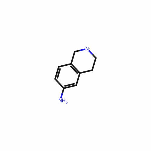 Nc1ccc2c(c1)CC[N]C2